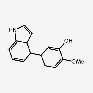 COC1=CCC(C2C=CC=C3NC=CC32)C=C1O